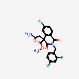 COC(=O)C1(CC(N)=O)C(=O)N(Cc2ccc(Br)cc2F)C(=O)c2ccc(Cl)cc21